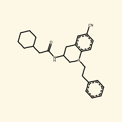 N#Cc1ccc2c(c1)CC(NC(=O)CC1CCCCC1)CN2CCc1ccccc1